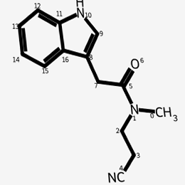 CN(CCC#N)C(=O)Cc1c[nH]c2ccccc12